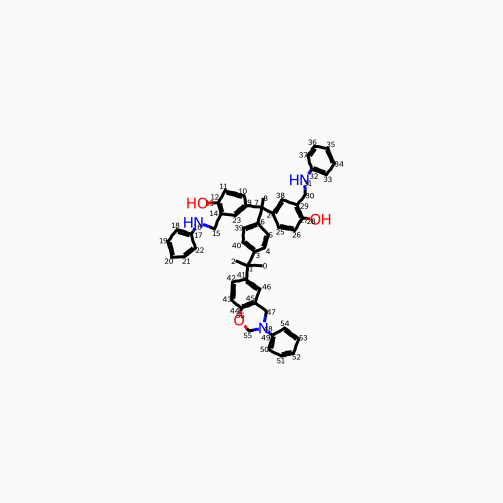 CC(C)(c1ccc(C(C)(c2ccc(O)c(CNc3ccccc3)c2)c2ccc(O)c(CNc3ccccc3)c2)cc1)c1ccc2c(c1)CN(c1ccccc1)CO2